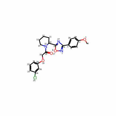 COc1ccc(-c2noc(C3CCCCN3C(=O)COc3cccc(Cl)c3)n2)cc1